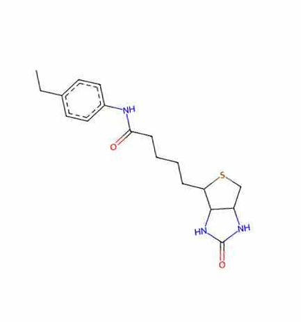 CCc1ccc(NC(=O)CCCCC2SCC3NC(=O)NC32)cc1